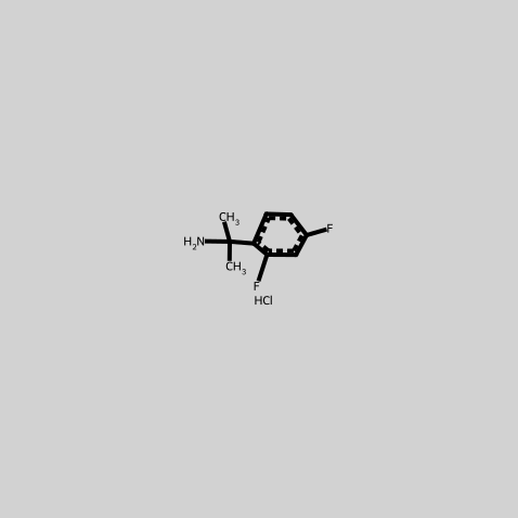 CC(C)(N)c1ccc(F)cc1F.Cl